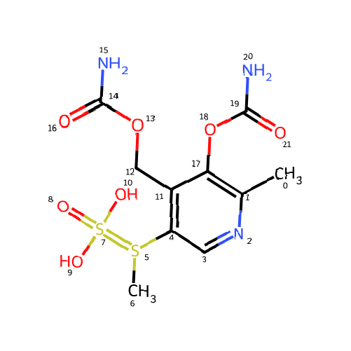 Cc1ncc(S(C)=S(=O)(O)O)c(COC(N)=O)c1OC(N)=O